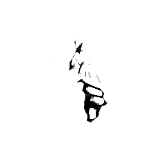 O=C(NCC(=O)N1[C@H]2C[C@@]2(CO)C[C@H]1C(=O)O)c1ccc2c(c1)-c1ccccc1C2(F)F